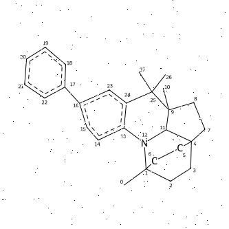 CC12CCC3(CC1)CCC1(C)C3N2c2ccc(-c3ccccc3)cc2C1(C)C